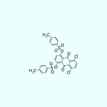 Cc1ccc(S(=O)(=O)Oc2ccc(OS(=O)(=O)c3ccc(C)cc3)c3c2C(=O)c2c(Cl)ccc(Cl)c2C3=O)cc1